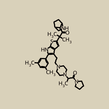 Cc1cc(C)cc(-c2[nH]c3sc(C(C)(C)C(=O)C4C5CCC4NC5)cc3c2CCN2CCN(C(C)C(=O)N3CCCC3)CC2)c1